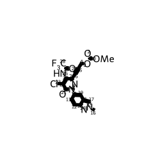 COC(=O)OCC#Cc1nn(-c2ccc3nn(C)cc3c2)c(=O)c(Cl)c1NC(=O)C(F)(F)F